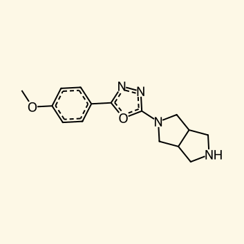 COc1ccc(-c2nnc(N3CC4CNCC4C3)o2)cc1